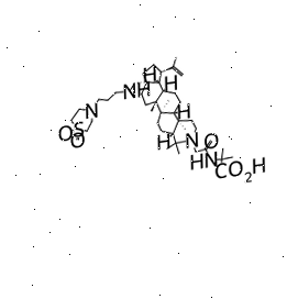 C=C(C)[C@@H]1CC[C@]2(CNCCCN3CCS(=O)(=O)CC3)CC[C@]3(C)[C@H](CC[C@@H]4[C@@]5(C)CCN(CC(=O)NC(C)(C)C(=O)O)C(C)(C)[C@@H]5CC[C@]43C)[C@@H]12